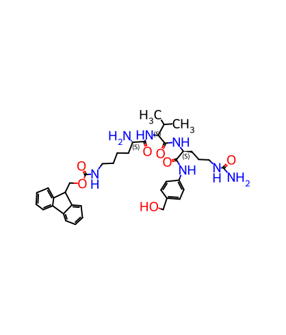 CC(C)[C@H](NC(=O)[C@@H](N)CCCCNC(=O)OCC1c2ccccc2-c2ccccc21)C(=O)N[C@@H](CCCNC(N)=O)C(=O)Nc1ccc(CO)cc1